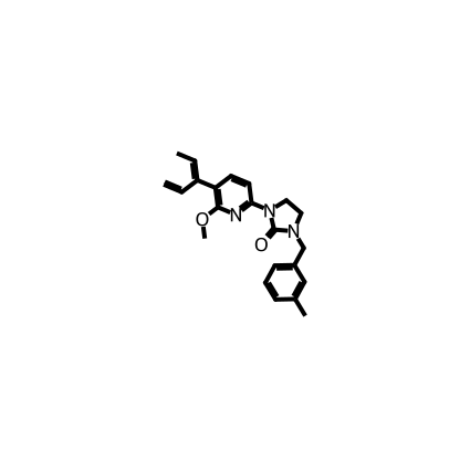 C=C/C(=C\C)c1ccc(N2CCN(Cc3cccc(C)c3)C2=O)nc1OC